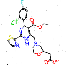 CCOC(=O)C1=C(CN2CCOC(CC(=O)O)C2)NC(c2nccs2)=NC1c1ccc(F)cc1Cl